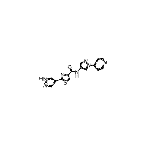 O=C(Nc1cnn(-c2ccncc2)c1)c1csc(-c2cn[nH]c2)n1